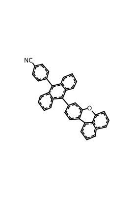 N#Cc1ccc(-c2c3ccccc3c(-c3ccc4c(c3)Oc3cccc5cccc-4c35)c3ccccc23)cc1